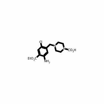 CCOC(=O)c1cc(Cl)c(CN2CCN(C(=O)O)CC2)cc1N